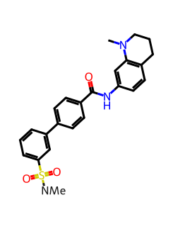 CNS(=O)(=O)c1cccc(-c2ccc(C(=O)Nc3ccc4c(c3)N(C)CCC4)cc2)c1